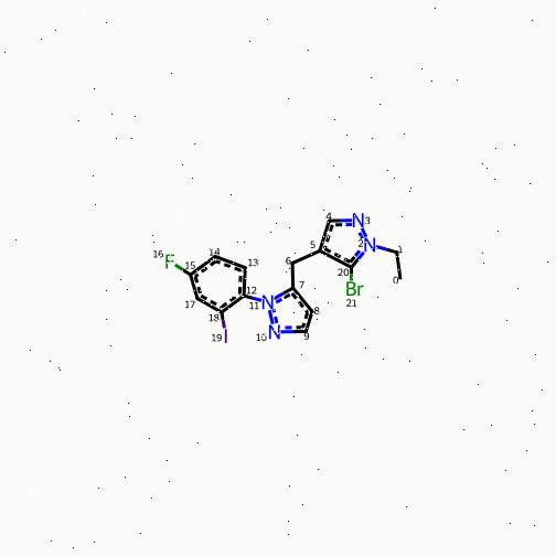 CCn1ncc(Cc2ccnn2-c2ccc(F)cc2I)c1Br